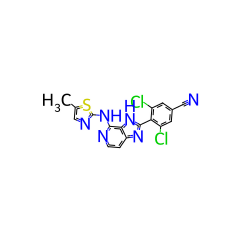 Cc1cnc(Nc2nccc3nc(-c4c(Cl)cc(C#N)cc4Cl)[nH]c23)s1